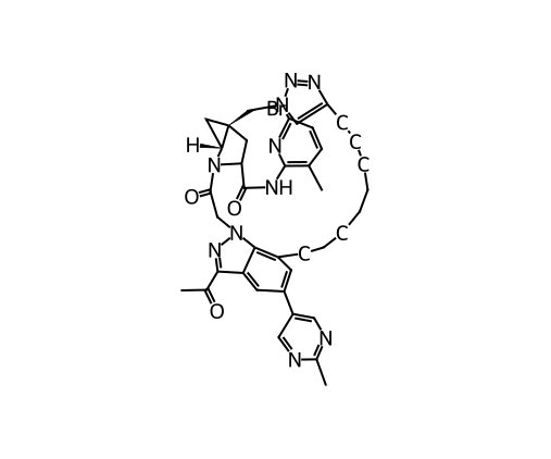 CC(=O)c1nn2c3c(cc(-c4cnc(C)nc4)cc13)CCCCCCCCc1cn(nn1)C[C@@]13CC(C(=O)Nc4nc(Br)ccc4C)N(C(=O)C2)[C@@H]1C3